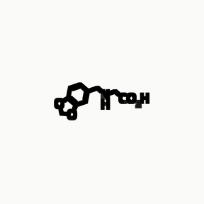 O=C(O)CNCc1ccc2c(c1)OCO2